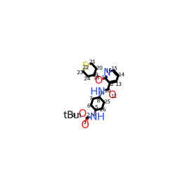 CC(C)(C)OC(=O)NC1CCC(NC(=O)c2cccnc2OC2CCSCC2)CC1